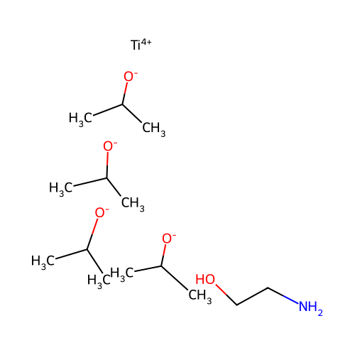 CC(C)[O-].CC(C)[O-].CC(C)[O-].CC(C)[O-].NCCO.[Ti+4]